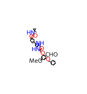 COc1cc(OCC(=O)Nc2cc([C@H]3CC[C@@H](OC(=O)NC4(C)CC4)C3)[nH]n2)c(C=O)c(OCc2ccccc2)c1